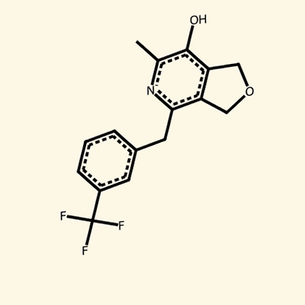 Cc1nc(Cc2cccc(C(F)(F)F)c2)c2c(c1O)COC2